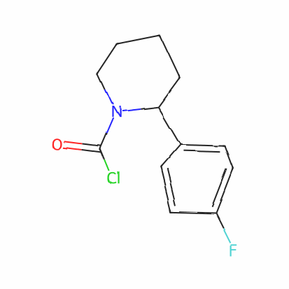 O=C(Cl)N1CCCCC1c1ccc(F)cc1